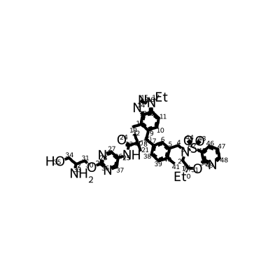 CC[C@@H]1CN(Cc2cc([C@@H](c3ccc4c(nnn4CC)c3C)C(C)(C)C(=O)Nc3cnc(OCC(N)CO)nc3)ccc2C)S(=O)(=O)c2cccnc2O1